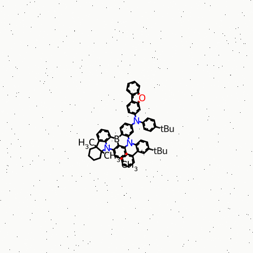 Cc1cc2c3c(c1)N1c4c(cccc4C4(C)CCCCC14C)B3c1ccc(N(c3ccc(C(C)(C)C)cc3)c3ccc4c(c3)oc3ccccc34)cc1N2c1ccc(C(C)(C)C)cc1-c1ccccc1